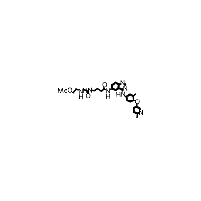 COCCNCC(=O)NCCCC(=O)Nc1ccc2ncnc(Nc3ccc(Oc4ccc(C)nc4)c(C)c3)c2c1